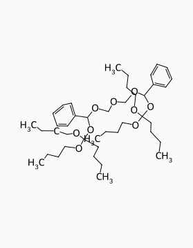 CCCCOC(CCCC)(OCCCC)OC(OCOCOC(OC(CCCC)(OCCCC)OCCCC)c1ccccc1)c1ccccc1